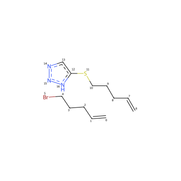 C=CCCCBr.C=CCCCSc1cnn[nH]1